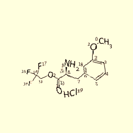 COc1cccc(C[C@H](N)C(=O)OCC(F)(F)F)c1.Cl